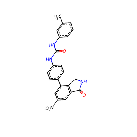 Cc1cccc(NC(=O)Nc2ccc(-c3cc([N+](=O)[O-])cc4c3CNC4=O)cc2)c1